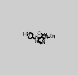 N#CCn1nc(Cl)c2c(NCC3CCNCC3)ccnc21